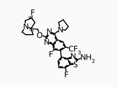 Nc1nc2c(-c3c(C(F)(F)F)cc4c(N5CCCC5)nc(OC[C@@]56CCCN5C[C@H](F)C6)nc4c3F)ccc(F)c2s1